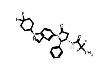 CC(F)(F)C(=O)N[C@H]1CC(=O)N(c2ccc3c(cnn3C3CCC(F)(F)CC3)c2)[C@@H]1c1ccccc1